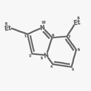 CCc1cn2cccc(CC)c2n1